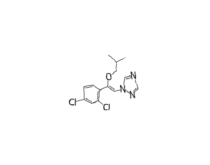 CC(C)COC(=Cn1cncn1)c1ccc(Cl)cc1Cl